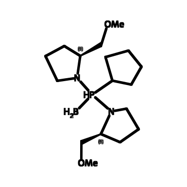 B[PH](C1CCCC1)(N1CCC[C@H]1COC)N1CCC[C@H]1COC